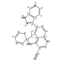 CCC1(Nc2c(C#N)cnc3ccc(-c4n[nH]c5cnccc45)cc23)C=CC=CC1